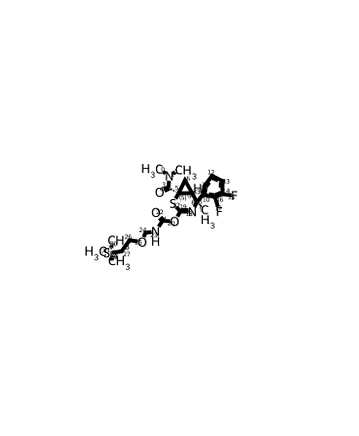 CN(C)C(=O)[C@]12C[C@H]1[C@@](C)(c1cccc(F)c1F)N=C(OC(=O)NCOCC[Si](C)(C)C)S2